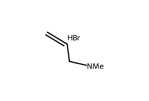 Br.C=CCNC